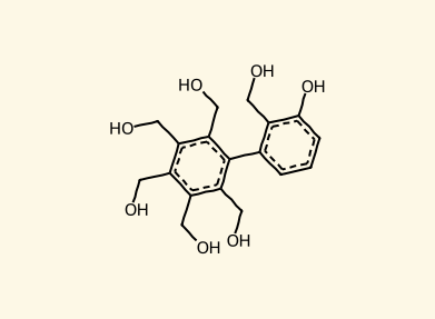 OCc1c(O)cccc1-c1c(CO)c(CO)c(CO)c(CO)c1CO